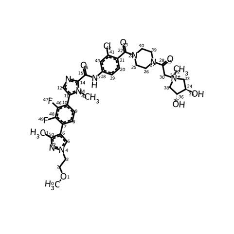 COCCn1cc(-c2ccc(-c3cnc(C(=O)Nc4ccc(C(=O)N5CCN(C(=O)C[N+]6(C)C[C@@H](O)[C@H](O)C6)CC5)c(Cl)c4)n3C)c(F)c2F)c(C)n1